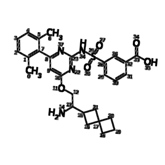 Cc1cccc(C)c1-c1cc(OCC(N)C2CC3(CCC3)C2)nc(NS(=O)(=O)c2cccc(C(=O)O)c2)n1